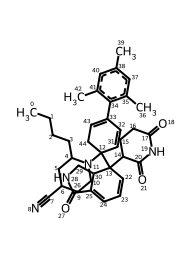 CCCCC1CC(C#N)CCN1C1(C2(C3CCC(=O)NC3=O)C=CC=C3C(=O)NCC32)C=CC(c2c(C)cc(C)cc2C)=CC1